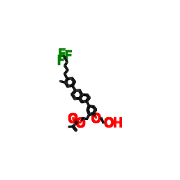 C=C(C)C(=O)OCCc1cc(-c2ccc3cc(-c4ccc(CCCCC(F)(F)F)c(C)c4)ccc3c2)ccc1OCCO